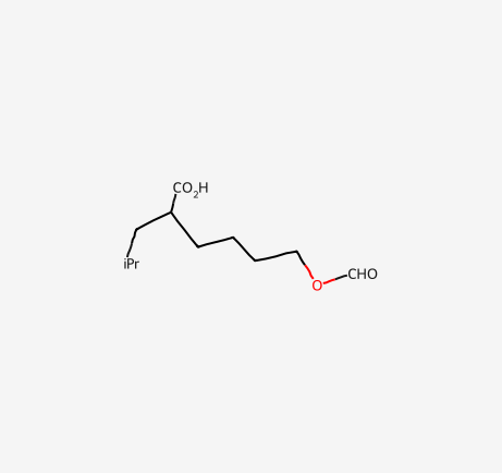 CC(C)CC(CCCCOC=O)C(=O)O